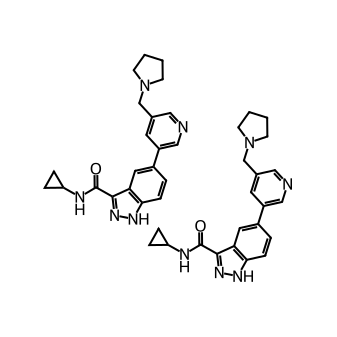 O=C(NC1CC1)c1n[nH]c2ccc(-c3cncc(CN4CCCC4)c3)cc12.O=C(NC1CC1)c1n[nH]c2ccc(-c3cncc(CN4CCCC4)c3)cc12